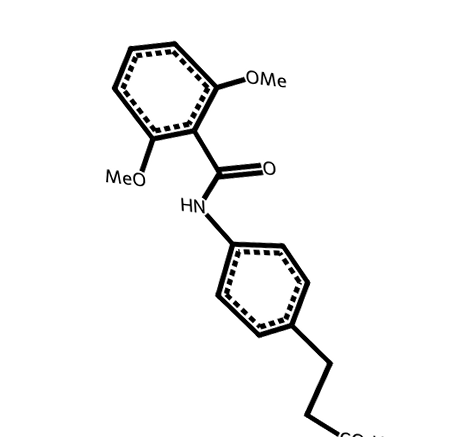 COc1cccc(OC)c1C(=O)Nc1ccc(CCC(=O)O)cc1